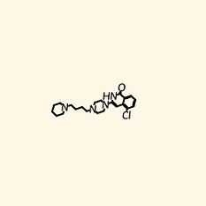 O=c1[nH]c(N2CCN(CCCCN3CCCCC3)CC2)cc2c(Cl)cccc12